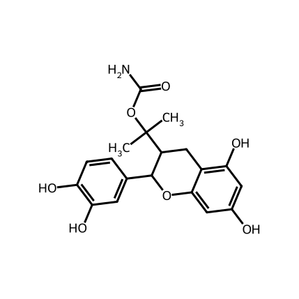 CC(C)(OC(N)=O)C1Cc2c(O)cc(O)cc2OC1c1ccc(O)c(O)c1